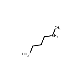 C[SiH2]CCCC(=O)O